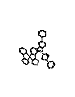 c1c(-c2ccccc2)ccc(-n2c3ccc(-c4ccccc4)cc3c3ccc4c(c32)C2=C(C=CCC2)C42c3ccccc3-c3ccccc32)c#1